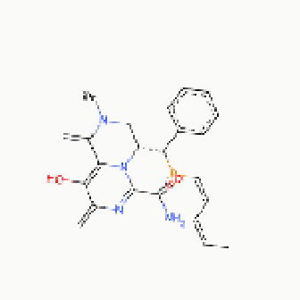 C#P(/C=C\C=C/C)C(c1ccccc1)[C@H]1CN(C(C)C)C(=C)C2=C(O)C(=C)N=C(C(N)=O)N21